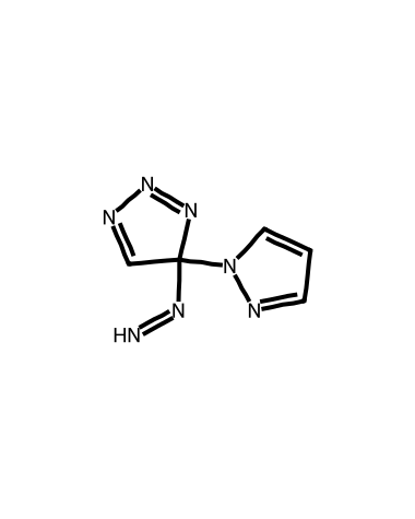 N=NC1(n2cccn2)C=NN=N1